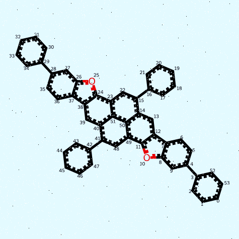 c1ccc(-c2ccc3c(c2)oc2c3cc3c(-c4ccccc4)cc4c5oc6cc(-c7ccccc7)ccc6c5cc5c(-c6ccccc6)cc2c3c54)cc1